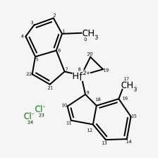 Cc1cccc2c1[CH]([Hf+2]1([CH]3C=Cc4cccc(C)c43)[CH2][CH2]1)C=C2.[Cl-].[Cl-]